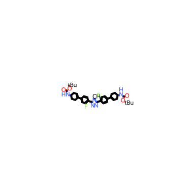 Cn1c(-c2ccc(C3=CCC(NC(=O)OC(C)(C)C)CC3)cc2F)nnc1-c1ccc(C2=CCC(NC(=O)OC(C)(C)C)CC2)cc1F